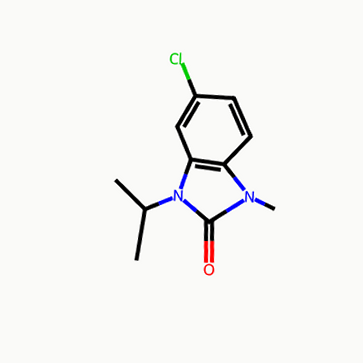 CC(C)n1c(=O)n(C)c2ccc(Cl)cc21